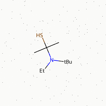 CCN(C(C)(C)C)C(C)(C)S